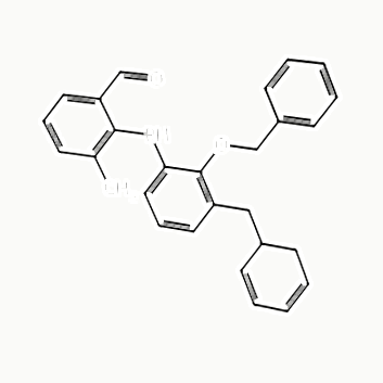 Cc1cccc(C=O)c1Pc1cccc(CC2C=CC=CC2)c1OCc1ccccc1